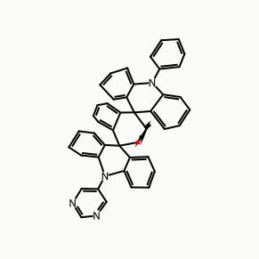 c1ccc(N2c3ccccc3C3(c4ccccc42)c2ccccc2C2(c4ccccc4N(c4cncnc4)c4ccccc42)c2ccccc23)cc1